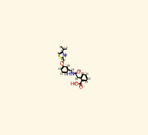 CC(C)c1csc(COc2cccc(CNC(=O)Cc3ccccc3C(=O)O)c2)n1